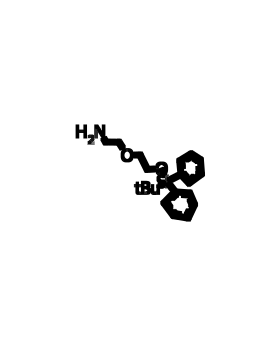 CC(C)(C)[Si](OCCOCCN)(c1ccccc1)c1ccccc1